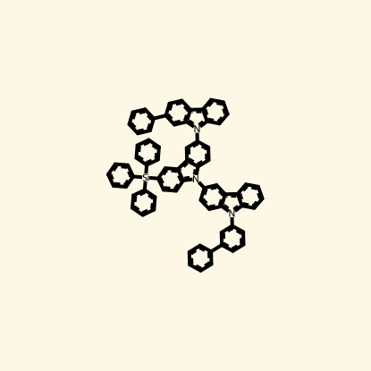 c1ccc(-c2cccc(-n3c4ccccc4c4cc(-n5c6ccc(-n7c8ccccc8c8ccc(-c9ccccc9)cc87)cc6c6cc([Si](c7ccccc7)(c7ccccc7)c7ccccc7)ccc65)ccc43)c2)cc1